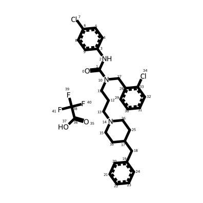 O=C(Nc1ccc(Cl)cc1)N(CCCN1CCC(Cc2ccccc2)CC1)Cc1ccccc1Cl.O=C(O)C(F)(F)F